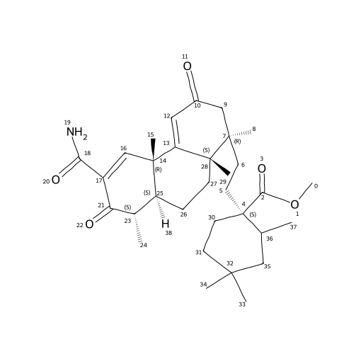 COC(=O)[C@]1(CC[C@]2(C)CC(=O)C=C3[C@@]4(C)C=C(C(N)=O)C(=O)[C@@H](C)[C@@H]4CC[C@]32C)CCC(C)(C)CC1C